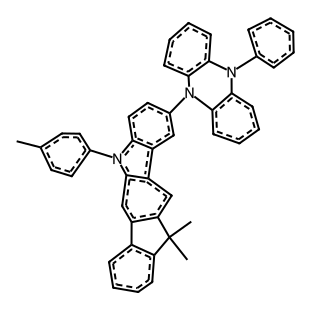 Cc1ccc(-n2c3ccc(N4c5ccccc5N(c5ccccc5)c5ccccc54)cc3c3cc4c(cc32)-c2ccccc2C4(C)C)cc1